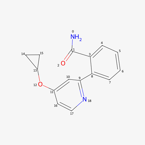 NC(=O)c1ccccc1-c1cc(OC2CC2)ccn1